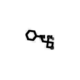 CC1(CNC2CCCCC2)COC1